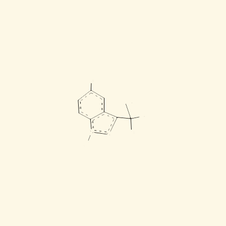 Cn1nc(C(C)(C)O)c2cc(Br)ccc21